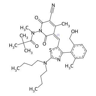 CCCCN(CCCC)c1nc(-c2c(C)cccc2CO)c(/C=C2\C(=O)N(N(C)C(=O)C(C)(C)C)C(=O)C(C#N)=C2C)s1